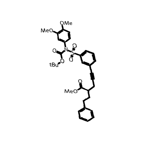 COC(=O)C(CC#Cc1cccc(S(=O)(=O)N(C(=O)OC(C)(C)C)c2ccc(OC)c(OC)c2)c1)CCc1ccccc1